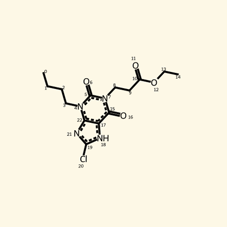 CCCCn1c(=O)n(CCC(=O)OCC)c(=O)c2[nH]c(Cl)nc21